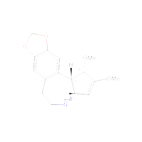 COC1=C[C@]23CCCN2CCc2cc4c(cc2[C@@H]3[C@@H]1OC)OCO4